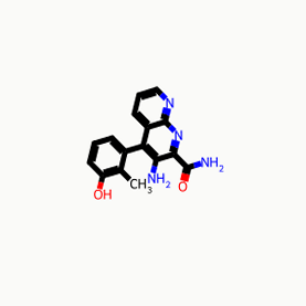 Cc1c(O)cccc1-c1c(N)c(C(N)=O)nc2ncccc12